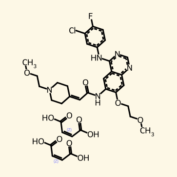 COCCOc1cc2ncnc(Nc3ccc(F)c(Cl)c3)c2cc1NC(=O)C=C1CCN(CCOC)CC1.O=C(O)/C=C\C(=O)O.O=C(O)/C=C\C(=O)O